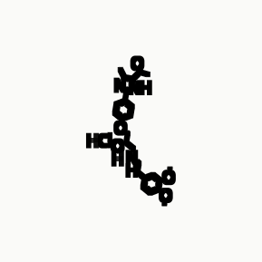 COc1ccc(CCNC[C@H](O)COc2ccc(-c3nc(C)c(C(C)=O)[nH]3)cc2)cc1OC.Cl